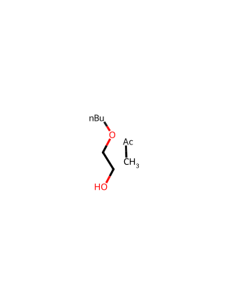 CC(C)=O.CCCCOCCO